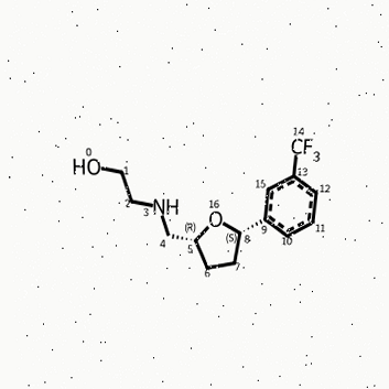 OCCNC[C@H]1CC[C@@H](c2cccc(C(F)(F)F)c2)O1